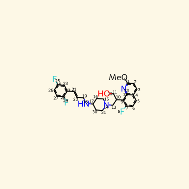 COc1ccc2ccc(F)c(C(CO)CN3CCC(NC/C=C/c4cc(F)ccc4F)CC3)c2n1